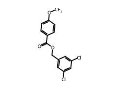 O=C(OCc1cc(Cl)cc(Cl)c1)c1ccc(OC(F)(F)F)cc1